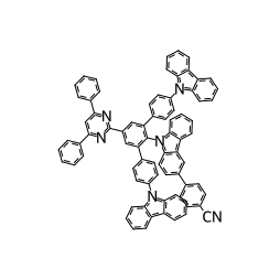 N#Cc1ccc(-c2ccc3c(c2)c2ccccc2n3-c2c(-c3ccc(-n4c5ccccc5c5ccccc54)cc3)cc(-c3nc(-c4ccccc4)cc(-c4ccccc4)n3)cc2-c2ccc(-n3c4ccccc4c4ccccc43)cc2)cc1